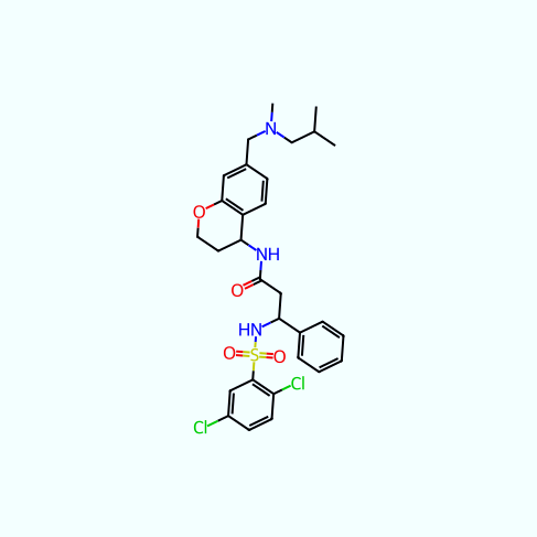 CC(C)CN(C)Cc1ccc2c(c1)OCCC2NC(=O)CC(NS(=O)(=O)c1cc(Cl)ccc1Cl)c1ccccc1